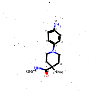 CNC1(C(=O)NC=O)CCN(c2ccc(N)cc2)CC1